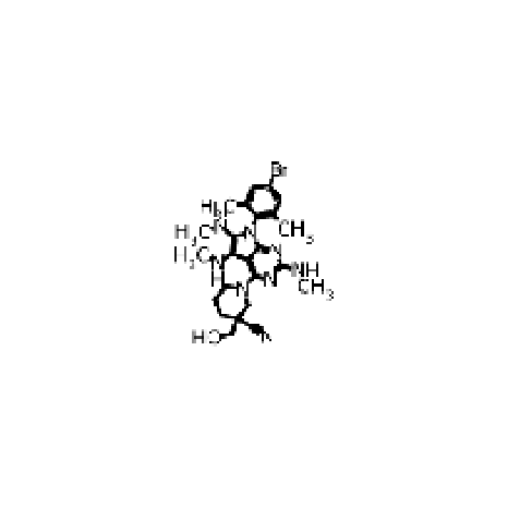 CNc1nc(N2CCCC(C#N)(CO)C2)c2c(NC)c(NC)n(-c3c(C)cc(Br)cc3C)c2n1